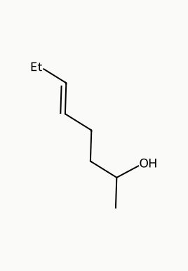 CCC=CCCC(C)O